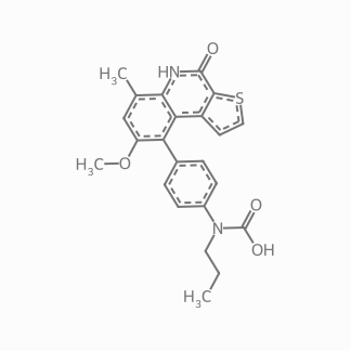 CCCN(C(=O)O)c1ccc(-c2c(OC)cc(C)c3[nH]c(=O)c4sccc4c23)cc1